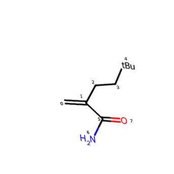 C=C(CCC(C)(C)C)C(N)=O